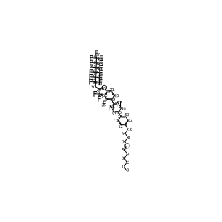 CCCCCCOCCCCc1ccc(-c2cnc(-c3ccc4c(c3F)C(F)(F)C(CC(F)(F)C(F)(F)C(F)(F)C(F)(F)C(F)(F)C(F)(F)F)O4)nc2)cc1